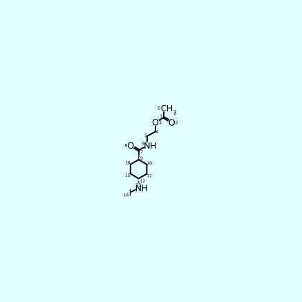 CC(=O)OCCNC(=O)[C@H]1CC[C@H](NI)CC1